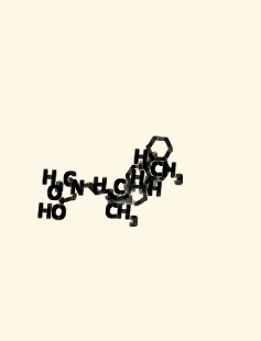 C[C@H](CC=CN(C)CC(=O)O)[C@H]1CC[C@H]2[C@@H]3CCC4CCCC[C@]4(C)[C@H]3CC[C@]12C